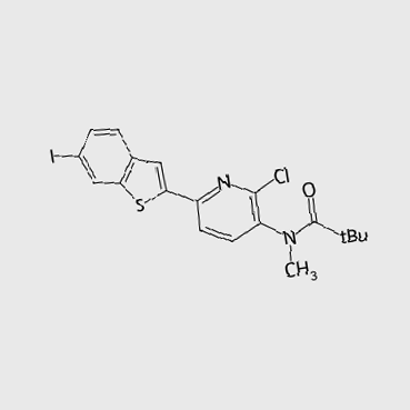 CN(C(=O)C(C)(C)C)c1ccc(-c2cc3ccc(I)cc3s2)nc1Cl